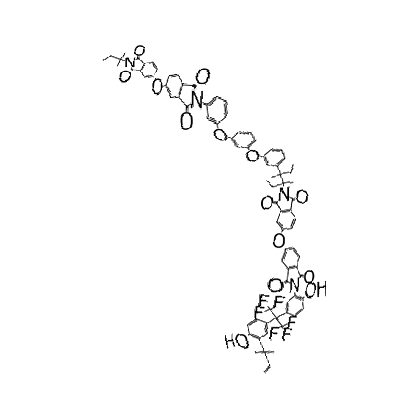 CCC(C)(C)c1cc(C(c2ccc(O)c(N3C(=O)c4ccc(Oc5ccc6c(c5)C(=O)N(C(C)(CC)C(C)(CC)c5cccc(Oc7cccc(Oc8cccc(N9C(=O)c%10ccc(Oc%11ccc%12c(c%11)C(=O)N(C(C)(C)CC)C%12=O)cc%10C9=O)c8)c7)c5)C6=O)cc4C3=O)c2)(C(F)(F)F)C(F)(F)F)ccc1O